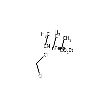 CC#N.CCCCCC.CCOC(C)=O.ClCCl